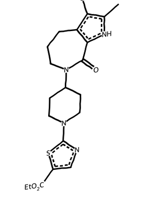 CCOC(=O)c1cnc(N2CCC(N3CCCc4c([nH]c(C)c4Cl)C3=O)CC2)s1